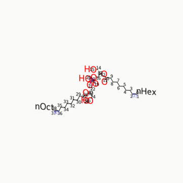 CCCCCC/C=C\CCCCCCCC(=O)O[C@@H](CO)COP(=O)(O)OC[C@H](CO)OC(=O)CCCCCCC/C=C\CCCCCCCC